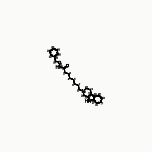 O=C(CCCCCCCN1CCc2c([nH]c3ccccc23)C1)NOCc1ccccc1